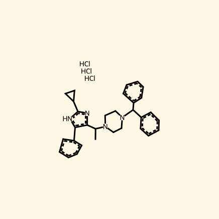 CC(c1nc(C2CC2)[nH]c1-c1ccccc1)N1CCN(C(c2ccccc2)c2ccccc2)CC1.Cl.Cl.Cl